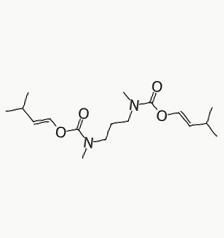 CC(C)/C=C/OC(=O)N(C)CCCN(C)C(=O)O/C=C/C(C)C